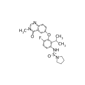 CC(C)c1c(N[S+]([O-])N2CCCC2)ccc(F)c1Oc1ccc2ncn(C)c(=O)c2c1